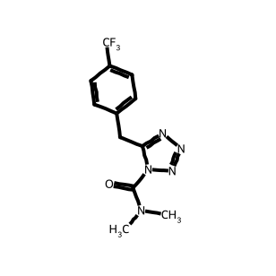 CN(C)C(=O)n1nnnc1Cc1ccc(C(F)(F)F)cc1